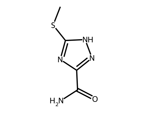 CSc1nc(C(N)=O)n[nH]1